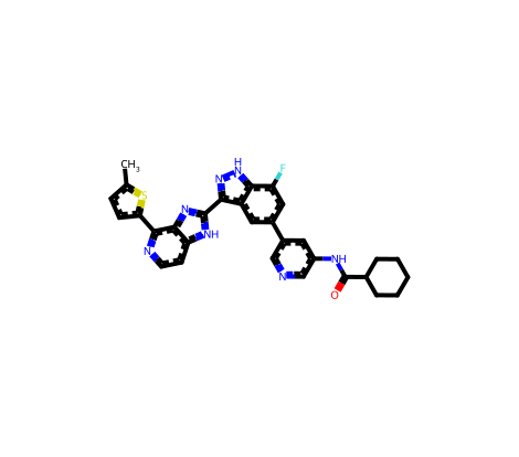 Cc1ccc(-c2nccc3[nH]c(-c4n[nH]c5c(F)cc(-c6cncc(NC(=O)C7CCCCC7)c6)cc45)nc23)s1